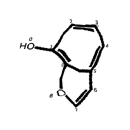 Oc1c[c]cc2ccoc12